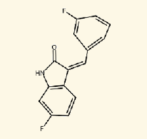 O=C1Nc2cc(F)ccc2C1=Cc1cccc(F)c1